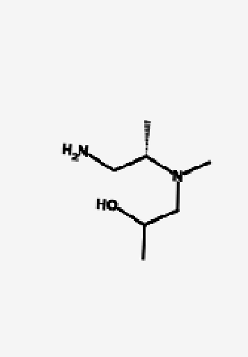 CC(O)CN(C)[C@@H](C)CN